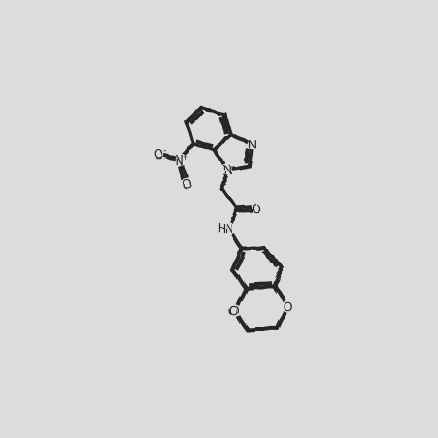 O=C(Cn1cnc2cccc([N+](=O)[O-])c21)Nc1ccc2c(c1)OCCO2